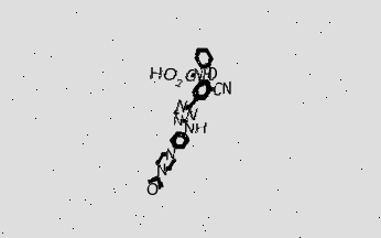 N#Cc1cc(-c2ncnc(Nc3ccc(N4CCN(C5COC5)CC4)cc3)n2)ccc1O[C@H]1CCCC[C@H]1NC(=O)O